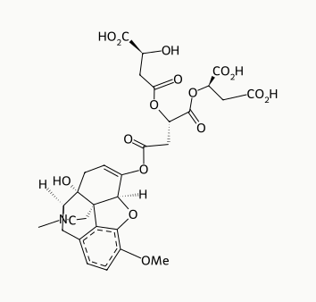 COc1ccc2c3c1O[C@@H]1C(OC(=O)C[C@H](OC(=O)C[C@H](O)C(=O)O)C(=O)O[C@H](CC(=O)O)C(=O)O)=CC[C@]4(O)[C@H](C2)N(C)CC[C@@]314